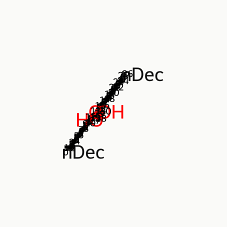 CCCCCCCCCCCCCCCCCCCCCCOCCCCCCCCCCCCCCCCCCCCCC.OCCO